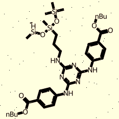 CCCCOC(=O)c1ccc(Nc2nc(NCCC[Si](C)(O[SiH](C)C)O[Si](C)(C)C)nc(Nc3ccc(C(=O)OCCCC)cc3)n2)cc1